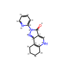 O=c1c2c[nH]c3c(c-2nn1-c1ccccn1)CCCC3